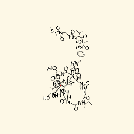 CC[C@H](C)[C@@H]1NC(=O)CNC(=O)[C@@H]2Cc3c([nH]c4ccccc34)[S+]([O-])C[C@H](NC(=O)CNC1=O)C(=O)NC(CC(=O)NCc1ccc(NC(=O)[C@H](C)NC(=O)C(NC(=O)CCN3C(=O)CC(SC)C3=O)C(C)C)cc1)C(=O)N1C[C@H](O)C[C@H]1C(=O)N[C@@H]([C@@H](C)[C@@H](O)CO)C(=O)N2